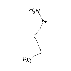 N[N]CCO